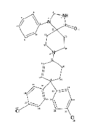 O=C1NCN(c2ccccc2)C12CCN(C1C=CC(c3ccc(Cl)cc3)(c3ccc(Cl)cc3)CC1)CC2